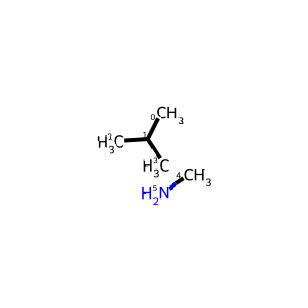 CC(C)C.CN